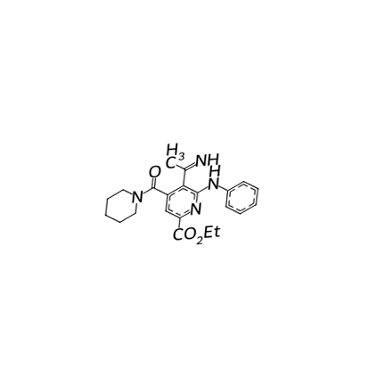 CCOC(=O)c1cc(C(=O)N2CCCCC2)c(C(C)=N)c(Nc2ccccc2)n1